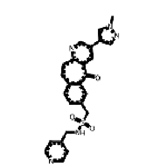 Cn1cc(-c2cnc3ccc4ccc(CS(=O)(=O)NCc5ccncc5)cc4c(=O)c3c2)cn1